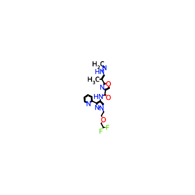 C=NN/C=C(\C)c1nc(C(=O)Nc2cn(CCOCC(F)F)nc2-c2ccccn2)co1